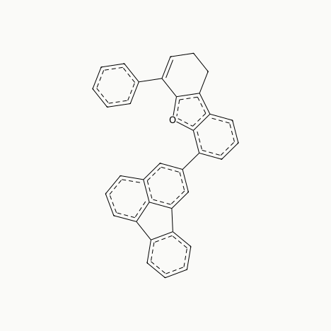 C1=C(c2ccccc2)c2oc3c(-c4cc5c6c(cccc6c4)-c4ccccc4-5)cccc3c2CC1